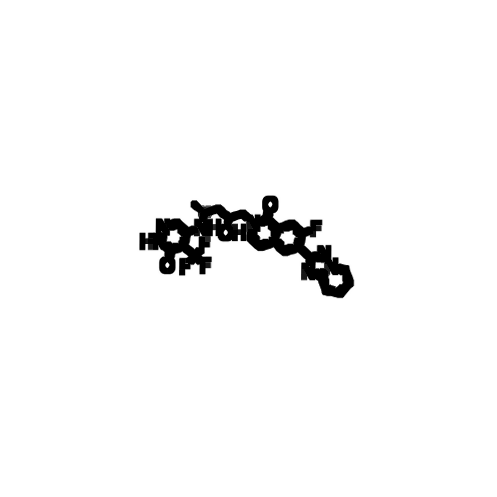 C[C@@H](CC(O)Cn1ccc2cc(-c3nc4ccccn4n3)c(F)cc2c1=O)Nc1cn[nH]c(=O)c1C(F)(F)F